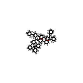 c1ccc(-c2ccc(N(c3ccc4c(c3)C(c3ccccc3)(c3ccccc3)c3ccccc3-4)c3cc(-c4ccccc4)ccc3-c3ccc(-c4ccc5c6ccccc6n(-c6ccccc6)c5c4)cc3)cc2)cc1